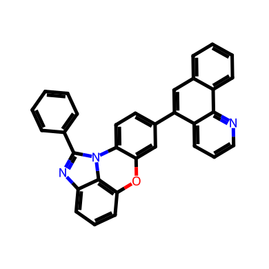 c1ccc(-c2nc3cccc4c3n2-c2ccc(-c3cc5ccccc5c5ncccc35)cc2O4)cc1